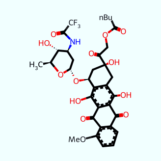 CCCCC(=O)OCC(=O)[C@]1(O)Cc2c(O)c3c(c(O)c2[C@@H](O[C@H]2C[C@H](NC(=O)C(F)(F)F)[C@@H](O)[C@H](C)O2)C1)C(=O)c1c(OC)cccc1C3=O